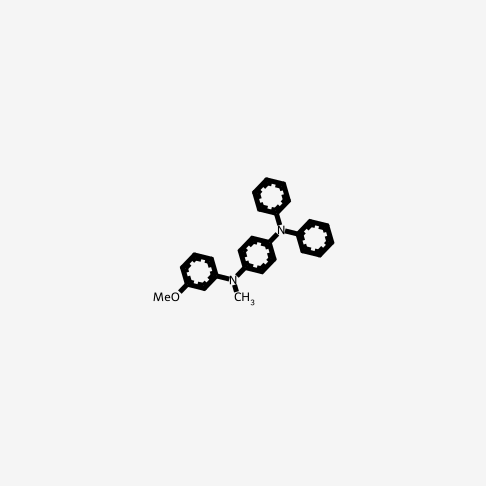 COc1cccc(N(C)c2ccc(N(c3ccccc3)c3ccccc3)cc2)c1